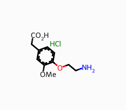 COc1cc(CC(=O)O)ccc1OCCN.Cl